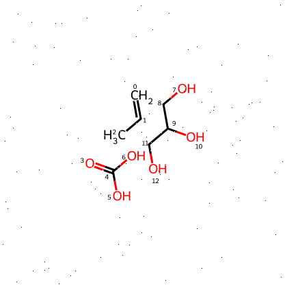 C=CC.O=C(O)O.OCC(O)CO